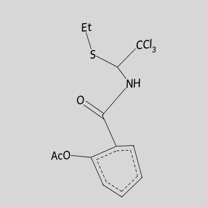 CCSC(NC(=O)c1ccccc1OC(C)=O)C(Cl)(Cl)Cl